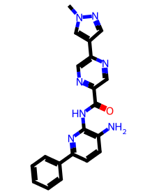 Cn1cc(-c2cnc(C(=O)Nc3nc(-c4ccccc4)ccc3N)cn2)cn1